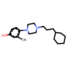 N#Cc1cc(O)ccc1N1CCN(CCCC2CCCCC2)CC1